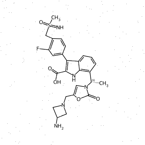 C[C@@H](c1cccc2c(-c3ccc(CS(C)(=N)=O)c(F)c3)c(C(=O)O)[nH]c12)n1cc(CN2CC(N)C2)oc1=O